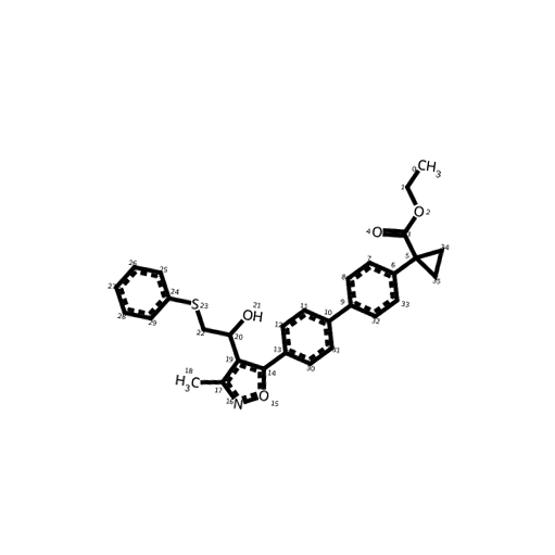 CCOC(=O)C1(c2ccc(-c3ccc(-c4onc(C)c4C(O)CSc4ccccc4)cc3)cc2)CC1